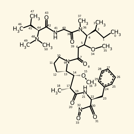 CCC(C)[C@@H](C(CC(=O)N1CCC[C@H]1[C@H](OC)[C@@H](C)C(=O)N[C@@H](Cc1ccccc1)C(=O)N=O)OC)N(C)C(=O)CNC(=O)[C@H](C(C)C)N(C)C